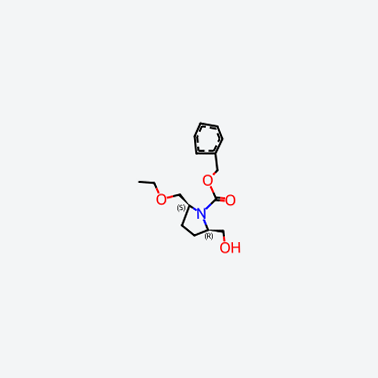 CCOC[C@@H]1CC[C@H](CO)N1C(=O)OCc1ccccc1